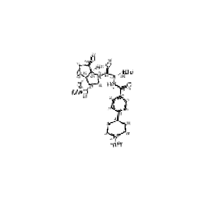 CCCN1CCC(c2ccc(C(=O)N[C@H](C(=O)N3C[C@H](OC)[C@H]4OCC(=O)[C@H]43)C(C)(C)C)cc2)CC1